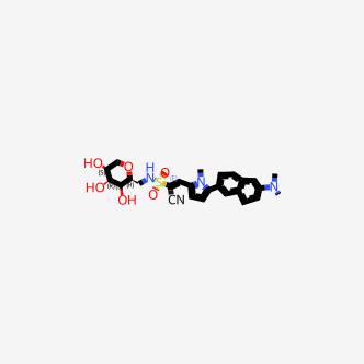 CN(C)c1ccc2cc(-c3ccc(/C=C(\C#N)S(=O)(=O)NC[C@H]4OC[C@H](O)[C@@H](O)[C@@H]4O)n3C)ccc2c1